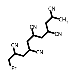 CC(C)CC(C#N)CC(C#N)CC(C#N)CC(C#N)CC(C)C#N